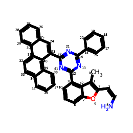 Cc1c(/C=C\N)oc2cccc(-c3nc(-c4ccccc4)nc(-c4cc5ccccc5c5ccc6ccccc6c45)n3)c12